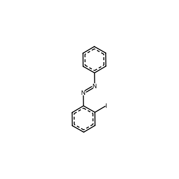 Ic1ccccc1N=Nc1ccccc1